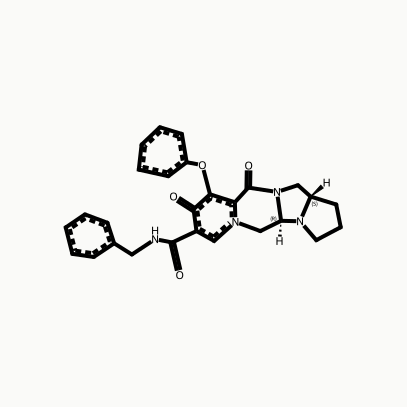 O=C(NCc1ccccc1)c1cn2c(c(Oc3ccccc3)c1=O)C(=O)N1C[C@@H]3CCCN3[C@H]1C2